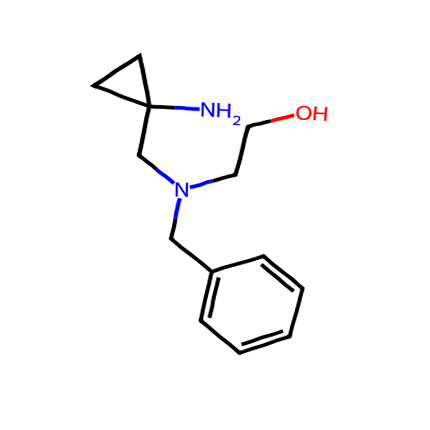 NC1(CN(CCO)Cc2ccccc2)CC1